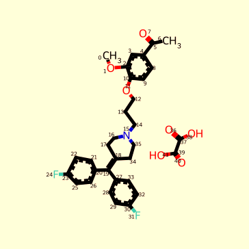 COc1cc(C(C)=O)ccc1OCCCN1CCC(=C(c2ccc(F)cc2)c2ccc(F)cc2)CC1.O=C(O)C(=O)O